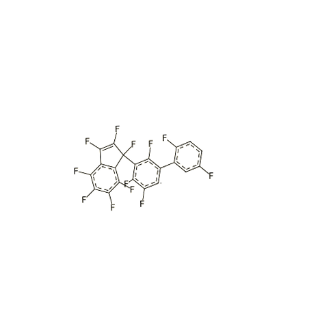 FC1=C(F)C(F)(c2c(F)c(F)[c]c(-c3cc(F)ccc3F)c2F)c2c(F)c(F)c(F)c(F)c21